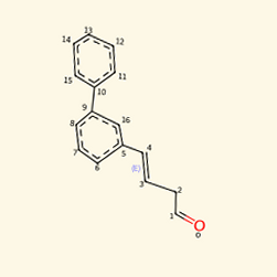 O=CC/C=C/c1cccc(-c2ccccc2)c1